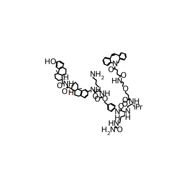 CC(C)[C@H](NC(=O)CCOCCNC(=O)CCC(=O)N1Cc2ccccc2C#Cc2ccccc21)C(=O)N[C@@H](CCCNC(N)=O)C(=O)Nc1ccc(COC(=O)N[C@@H](CCCCN)C(=O)Nc2ccc3c(c2)[C@@]2(C)CCC[C@](C)(C(=O)NC(=O)[C@@]4(C)CCC[C@]5(C)c6cc(O)ccc6CC[C@@H]45)[C@@H]2CC3)cc1